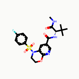 CNC(=O)[C@@H](NC(=O)c1cnc2c(c1)N(S(=O)(=O)c1ccc(F)cc1)CCO2)C(C)(C)C